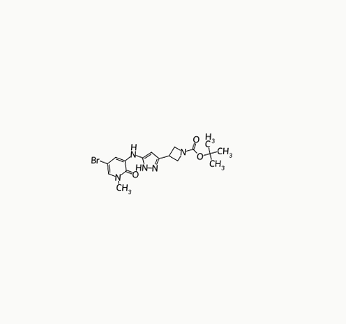 Cn1cc(Br)cc(Nc2cc(C3CN(C(=O)OC(C)(C)C)C3)n[nH]2)c1=O